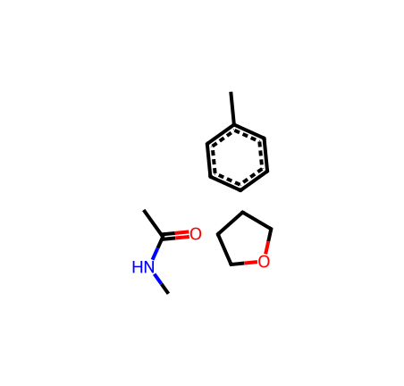 C1CCOC1.CNC(C)=O.Cc1ccccc1